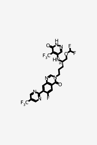 O=c1[nH]ncc(N[C@H](CCCn2cnc3cc(-c4ncc(C(F)(F)F)cn4)c(F)cc3c2=O)COC(F)F)c1C(F)(F)F